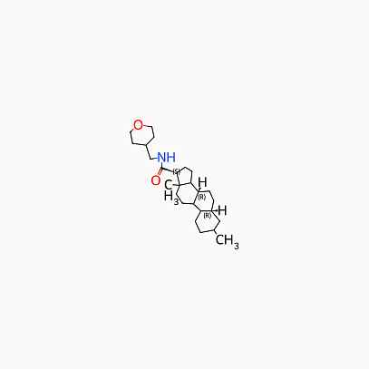 CC1CCC2C3CCC4(C)C(CC[C@@H]4C(=O)NCC4CCOCC4)[C@@H]3CC[C@@H]2C1